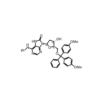 COc1ccc(C(OC[C@H]2O[C@@H](n3c(=O)[nH]c4c(NC(C)C)ncnc43)C[C@@H]2O)(c2ccccc2)c2ccc(OC)cc2)cc1